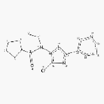 CCN(C(=O)C1CCCC1)c1sc(-c2cccnc2)nc1Cl